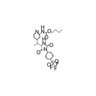 CCCCOC(=O)Nc1cc(C(C)C2NC(=O)N(c3ccc(S(=O)(=O)C(F)(F)F)cc3)C2=O)ccn1